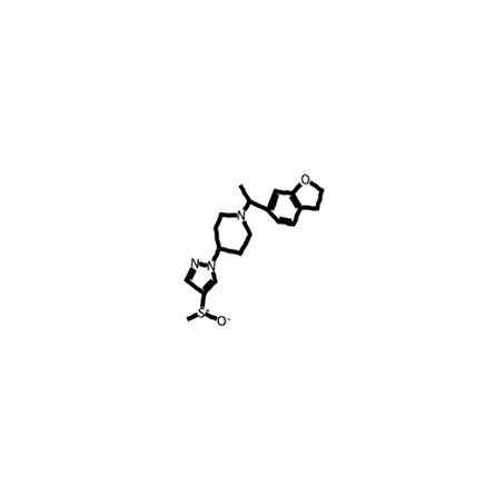 CC(c1ccc2c(c1)OCC2)N1CCC(n2cc([S+](C)[O-])cn2)CC1